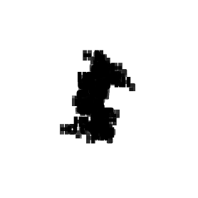 CC[C@H](C)[C@H](NC(=O)[C@H](Cc1ccccc1)NC(=O)[C@H](Cc1ccccc1)NC(=O)[C@@H](NC(=O)[C@H](CO)NC(=O)[C@H](CO)NC(=O)[C@H](Cc1ccc(O)cc1)NC(=O)[C@H](CC(N)=O)NC(=O)[C@@H](N)CCCCN)[C@@H](C)CC)C(=O)N[C@@H](Cc1c[nH]cn1)C(=O)N[C@@H](C)C(=O)N[C@@H](CS)C(=O)O